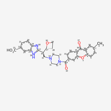 Cc1ccc2oc3cc(C(=O)N4CCN(C[C@@H](c5nc6ccc(C(=O)O)cc6[nH]5)[C@H]5CCO5)CC4)ccc3c(=O)c2c1